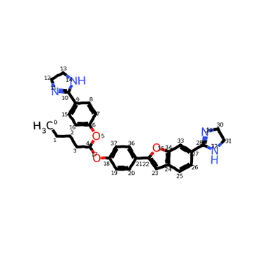 CCCCC(Oc1ccc(C2=NCCN2)cc1)Oc1ccc(-c2cc3ccc(C4=NCCN4)cc3o2)cc1